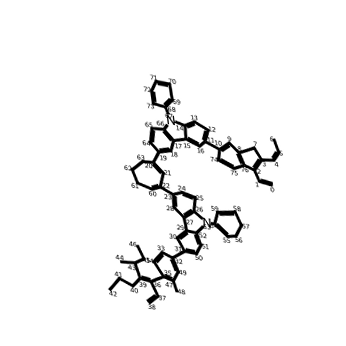 C=CC1=C(/C=C\C)Cc2cc(-c3ccc4c(c3)c3cc(C5=CC(c6ccc7c(c6)c6cc(-c8ccc(/C(C=C)=C(/CCC)C(C)CC)c(C)c8)ccc6n7C6=CCCC=C6)=CCCC5)ccc3n4-c3ccccc3)ccc21